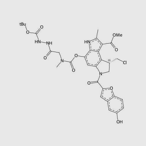 COC(=O)c1c(C)[nH]c2c(OC(=O)N(C)CC(=O)NNC(=O)OC(C)(C)C)cc3c(c12)[C@H](CCl)CN3C(=O)c1cc2cc(O)ccc2o1